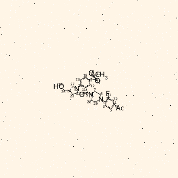 CC(=O)c1ccc(N2CCN(C(=O)c3cc(S(C)(=O)=O)ccc3N3CCC(CO)C3)CC2)c(F)c1